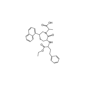 CCOC(=O)C(CCc1ccccc1)NC1CSC(c2cccc3ccccc23)CN(C(C)C(=O)O)C1=O